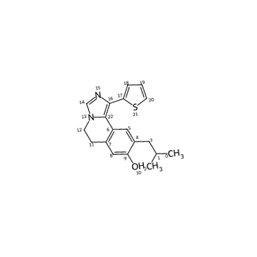 CC(C)Cc1cc2c(cc1O)CCn1cnc(-c3cccs3)c1-2